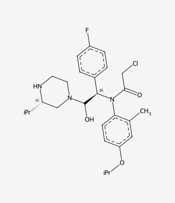 Cc1cc(OC(C)C)ccc1N(C(=O)CCl)[C@H](c1ccc(F)cc1)C(O)N1CCN[C@@H](C(C)C)C1